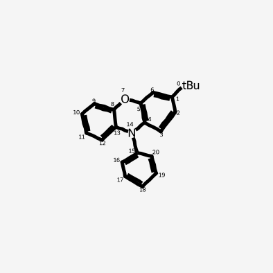 CC(C)(C)c1ccc2c(c1)Oc1ccccc1N2c1ccccc1